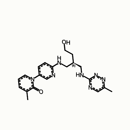 Cc1cnc(NC[C@H](CCO)CNc2ccc(-n3cccc(C)c3=O)cn2)nn1